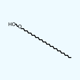 CCCCCCCCCCCCCCCCCCCCCCCCCCCCOCCO